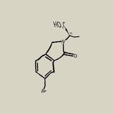 C[C@H](C(=O)O)N1Cc2ccc(Br)cc2C1=O